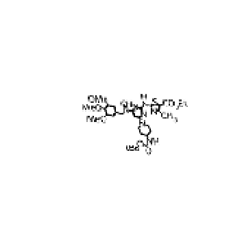 CCOC(=O)c1sc(Nc2nc(N(C)Cc3cc(OC)c(OC)c(OC)c3)cc(N3CCC(NC(=O)OC(C)(C)C)CC3)n2)nc1C